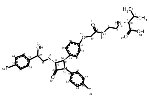 CC(C)[C@@H](NCCNC(=O)COc1ccc([C@@H]2[C@@H](SCC(O)c3ccc(F)cc3)C(=O)N2c2ccc(F)cc2)cc1)C(=O)O